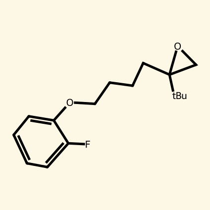 CC(C)(C)C1(CCCCOc2ccccc2F)CO1